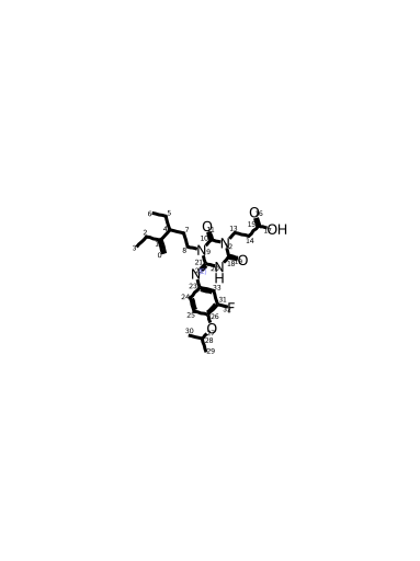 C=C(CC)C(CC)CCn1c(=O)n(CCC(=O)O)c(=O)[nH]/c1=N\c1ccc(OC(C)C)c(F)c1